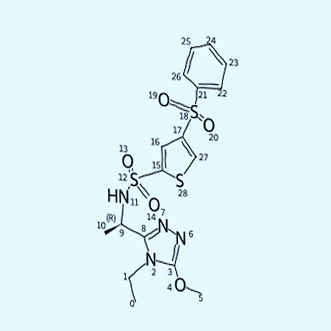 CCn1c(OC)nnc1[C@@H](C)NS(=O)(=O)c1cc(S(=O)(=O)c2ccccc2)cs1